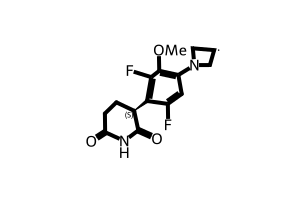 COc1c(N2C[CH]C2)cc(F)c([C@@H]2CCC(=O)NC2=O)c1F